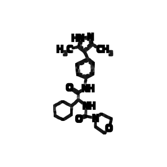 Cc1n[nH]c(C)c1-c1ccc(NC(=O)C(NC(=O)N2CCOCC2)C2CCCCC2)cc1